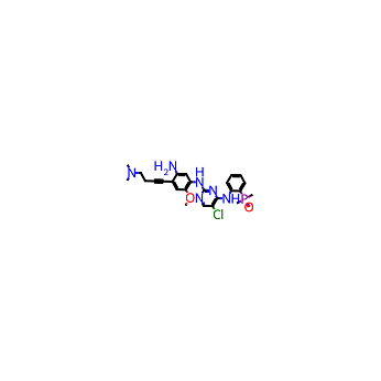 COc1cc(C#CCCN(C)C)c(N)cc1Nc1ncc(Cl)c(Nc2ccccc2P(C)(C)=O)n1